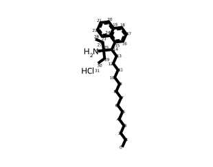 CCCCCCCCCCCCCCC(c1cccc2ccccc12)C(N)(CC)CC.Cl